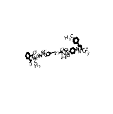 Cc1ccc(-c2cc(C(F)(F)F)nn2-c2ccc(S(=O)(=O)NC(=O)OCC3CCN(/[N+]([O-])=N/OC(C)N4C(=O)c5ccccc5C4=O)C3)cc2)cc1